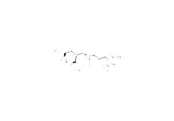 COC(=O)CC(CNCCC[Si](C)(OC)OC)C(=O)OC